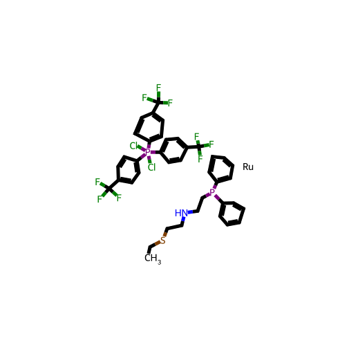 CCSCCNCCP(c1ccccc1)c1ccccc1.FC(F)(F)c1ccc(P(Cl)(Cl)(c2ccc(C(F)(F)F)cc2)c2ccc(C(F)(F)F)cc2)cc1.[Ru]